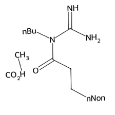 CC(=O)O.CCCCCCCCCCCC(=O)N(CCCC)C(=N)N